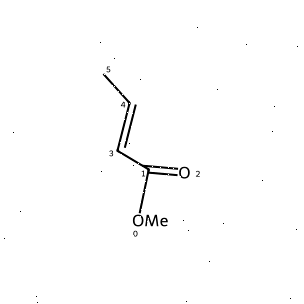 [CH2]OC(=O)/C=C/C